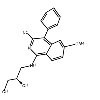 COc1ccc2c(NC[C@@H](O)CO)nc(C#N)c(-c3ccccc3)c2c1